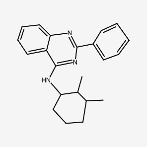 CC1CCCC(Nc2nc(-c3ccccc3)nc3ccccc23)C1C